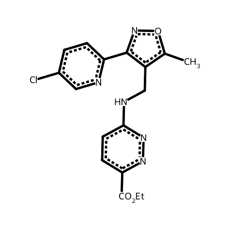 CCOC(=O)c1ccc(NCc2c(-c3ccc(Cl)cn3)noc2C)nn1